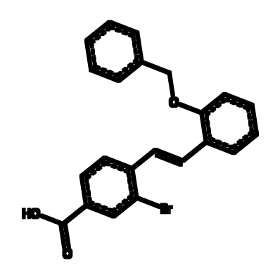 O=C(O)c1ccc(/C=C/c2ccccc2OCc2ccccc2)c(Br)c1